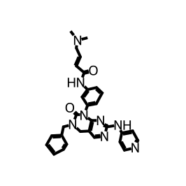 CN(C)C/C=C/C(=O)Nc1cccc(N2C(=O)N(Cc3ccccc3)Cc3cnc(Nc4ccncc4)nc32)c1